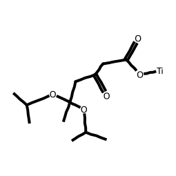 CC(C)OC(C)(CC(=O)CC(=O)[O][Ti])OC(C)C